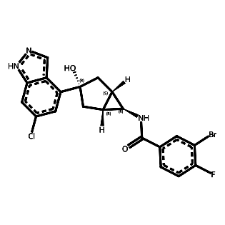 O=C(N[C@H]1[C@@H]2C[C@@](O)(c3cc(Cl)cc4[nH]ncc34)C[C@@H]21)c1ccc(F)c(Br)c1